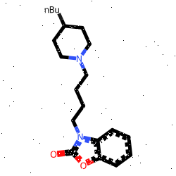 CCCCC1CCN(CCCCn2c(=O)oc3ccccc32)CC1